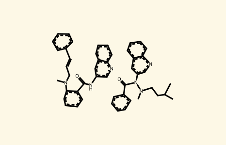 CC(C)CCN(C)N(C(=O)c1ccccc1)c1cnc2ccccc2c1.CN(CC=Cc1ccccc1)c1ccccc1C(=O)Nc1cnc2ccccc2c1